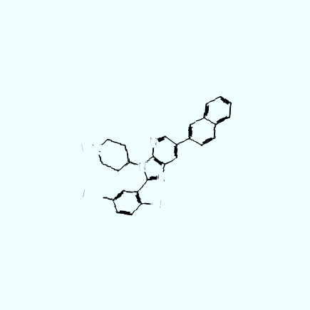 FC(F)(F)c1ccc(C(F)(F)F)c(-c2nc3cc(-c4ccc5ccccc5c4)cnc3n2C2CCNCC2)c1